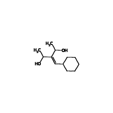 CC(O)C(=CC1CCCCC1)C(C)O